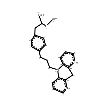 CCCOC(Cc1ccc(CCCN2c3cccnc3Cc3ncccc32)cc1)C(=O)O